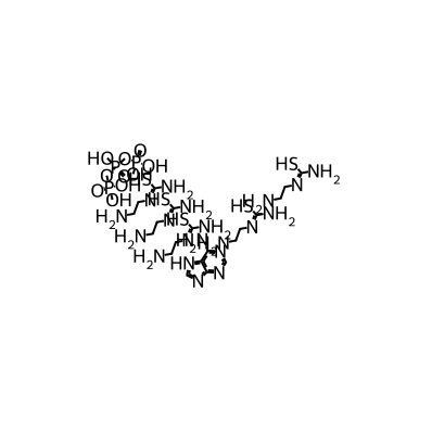 NCCN=C(N)S.NCCN=C(N)S.NCCN=C(N)S.NCCN=C(N)S.NCCN=C(N)S.Nc1ncnc2nc[nH]c12.O=P(O)(O)OP(=O)(O)OP(=O)(O)O